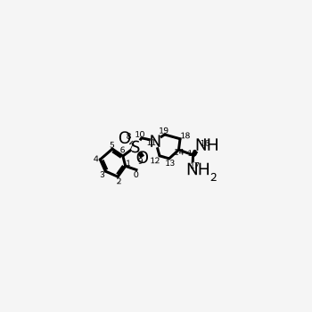 Cc1ccccc1S(=O)(=O)CN1CCC(C(=N)N)CC1